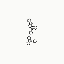 c1ccc(-n2c3ccccc3c3ccc(-c4ccc(-n5c6ccccc6c6c7oc8ccccc8c7ccc65)cc4)cc32)cc1